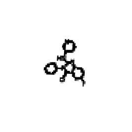 O=c1c2cc(F)ccc2nc(Nc2cccnc2)n1-c1ccccc1